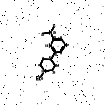 CCN1CCC(c2cncc(N(C)C)n2)CC1